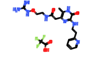 Cc1[nH]c(=O)c(NCCc2ccccn2)nc1CC(=O)NCCONC(=N)N.O=C(O)C(F)(F)F